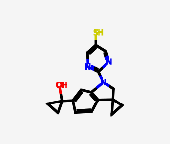 OC1(c2ccc3c(c2)N(c2ncc(S)cn2)CC32CC2)CC1